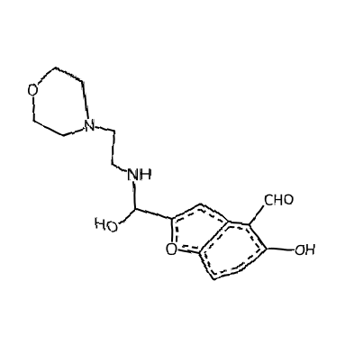 O=Cc1c(O)ccc2oc(C(O)NCCN3CCOCC3)cc12